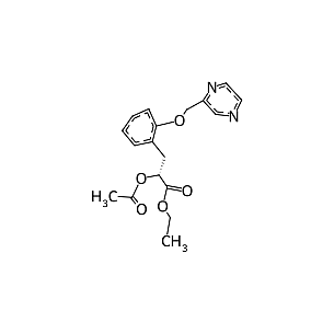 CCOC(=O)[C@@H](Cc1ccccc1OCc1cnccn1)OC(C)=O